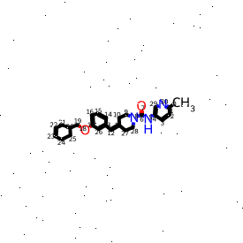 Cc1ccc(NC(=O)N2CCC(=Cc3cccc(OCC4CC=CCC4)c3)CC2)cn1